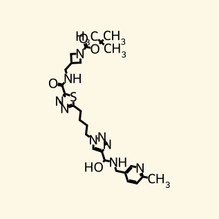 Cc1ccc(CNC(O)c2cn(CCCCc3nnc(C(=O)NCC4CN(C(=O)OC(C)(C)C)C4)s3)nn2)cn1